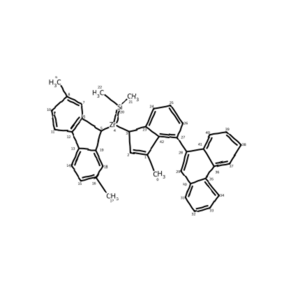 CC1=C[CH]([Zr]([CH]2c3cc(C)ccc3-c3ccc(C)cc32)=[Si](C)C)c2cccc(-c3cc4ccccc4c4ccccc34)c21